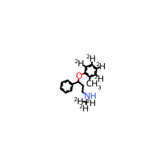 [2H]c1c([2H])c([2H])c(OC(CCNC([2H])([2H])[2H])c2ccccc2)c(C)c1[2H]